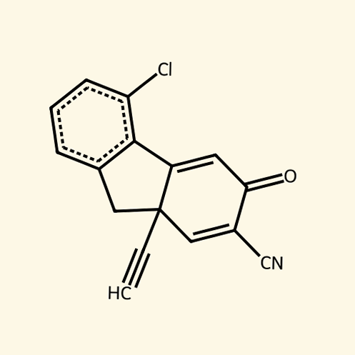 C#CC12C=C(C#N)C(=O)C=C1c1c(Cl)cccc1C2